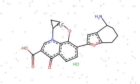 COc1c(-c2cc3c(o2)CCCC3N)ccc2c(=O)c(C(=O)O)cn(C3CC3)c12.Cl